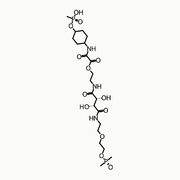 CP(C)(=O)OCCOCCNC(=O)[C@H](O)[C@@H](O)C(=O)NCCOC(=O)C(=O)NC1CCC(OP(C)(=O)O)CC1